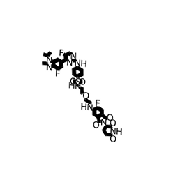 Cc1nc2c(F)cc(-c3nc(Nc4ccc(S(=O)(=O)NCCOCCNc5cc6c(cc5F)C(=O)N(C5CCC(=O)NC5=O)C6=O)cc4)ncc3F)cc2n1C(C)C